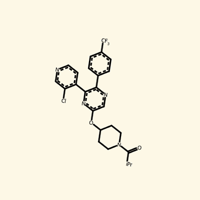 CC(C)C(=O)N1CCC(Oc2cnc(-c3ccc(C(F)(F)F)cc3)c(-c3ccncc3Cl)n2)CC1